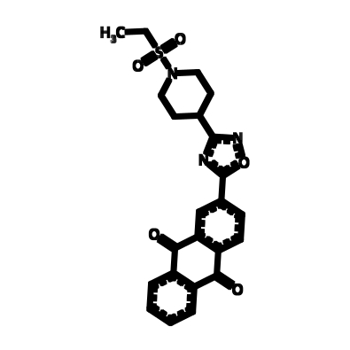 CCS(=O)(=O)N1CCC(c2noc(-c3ccc4c(c3)C(=O)c3ccccc3C4=O)n2)CC1